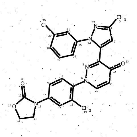 Cc1cc(-c2nn(-c3ccc(N4CCOC4=O)cc3C)ccc2=O)n(-c2cccc(Cl)c2)n1